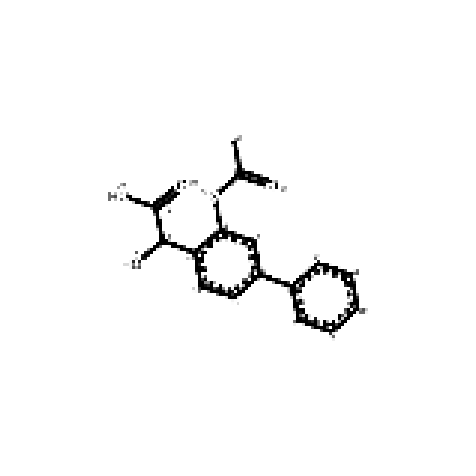 CC(=O)Sc1cc(-c2ccccc2)ccc1C(O)C(=O)O